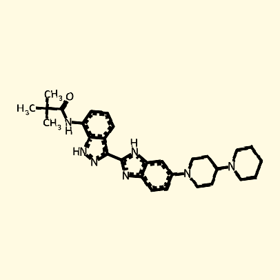 CC(C)(C)C(=O)Nc1cccc2c(-c3nc4ccc(N5CCC(N6CCCCC6)CC5)cc4[nH]3)n[nH]c12